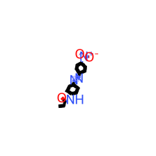 C=CC(=O)Nc1ccc(/N=N/c2ccc([N+](=O)[O-])cc2)cc1